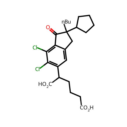 CCCCC1(C2CCCC2)Cc2cc(C(CCCC(=O)O)C(=O)O)c(Cl)c(Cl)c2C1=O